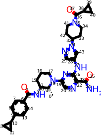 C[C@@H]1[C@H](NC(=O)c2ccc(C3CC3)cc2)CCCN1c1cnc(C(N)=O)c(Nc2cnn(C3CCN(C(=O)C4CC4)CC3)c2)n1